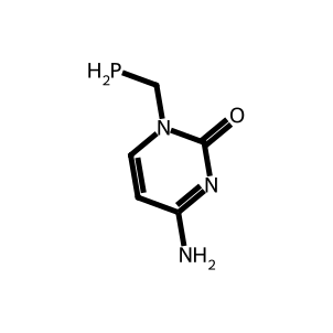 Nc1ccn(CP)c(=O)n1